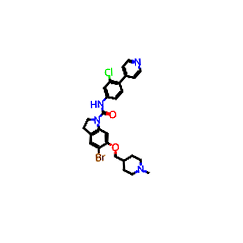 CN1CCC(COc2cc3c(cc2Br)CCN3C(=O)Nc2ccc(-c3ccncc3)c(Cl)c2)CC1